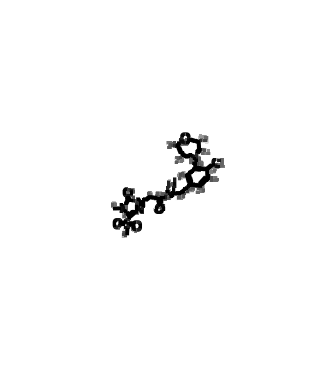 Cn1c(S(C)(=O)=O)nn(CC(=O)NCc2ccc(Cl)c(N3CCOCC3)c2)c1=O